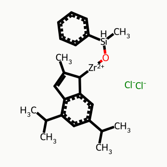 CC1=Cc2c(C(C)C)cc(C(C)C)cc2[CH]1[Zr+2][O][SiH](C)c1ccccc1.[Cl-].[Cl-]